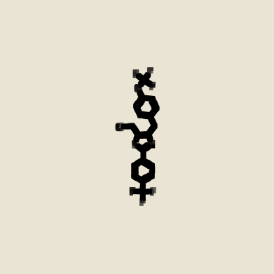 FC(F)(F)Oc1ccc(Cc2nc(-c3ccc(C(F)(F)F)cc3)sc2CCl)cc1